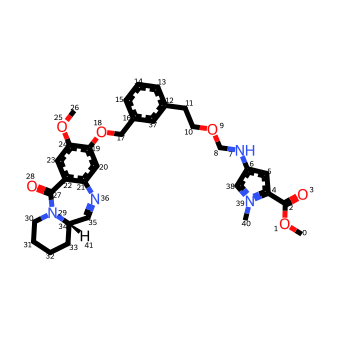 COC(=O)c1cc(NCOCCc2cccc(COc3cc4c(cc3OC)C(=O)N3CCCC[C@H]3C=N4)c2)cn1C